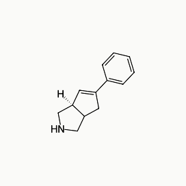 C1=C(c2ccccc2)CC2CNC[C@@H]12